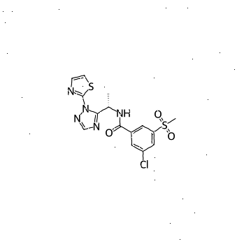 C[C@H](NC(=O)c1cc(Cl)cc(S(C)(=O)=O)c1)c1ncnn1-c1nccs1